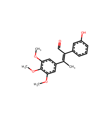 COc1cc(C(C)=C(C=O)c2cccc(O)c2)cc(OC)c1OC